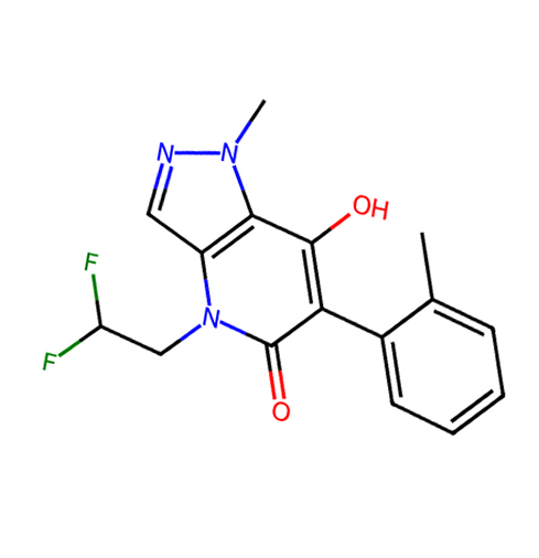 Cc1ccccc1-c1c(O)c2c(cnn2C)n(CC(F)F)c1=O